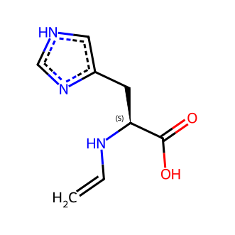 C=CN[C@@H](Cc1c[nH]cn1)C(=O)O